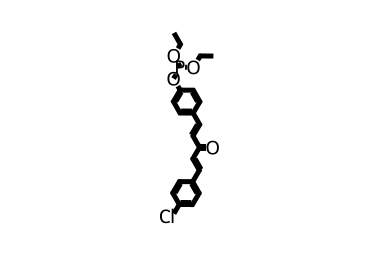 CCOP(OCC)Oc1ccc(/C=C/C(=O)/C=C/c2ccc(Cl)cc2)cc1